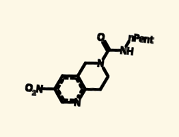 CCCCCNC(=O)N1CCc2ncc([N+](=O)[O-])cc2C1